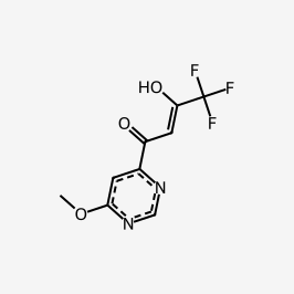 COc1cc(C(=O)/C=C(\O)C(F)(F)F)ncn1